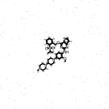 COc1cc(N2CCC(N3CCN(C)CC3)CC2)ccc1Nc1nc(OCc2ccccc2S(=O)(=O)C(C)C)c2sccc2n1